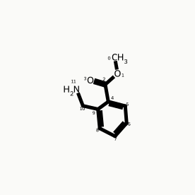 COC(=O)c1c[c]ccc1CN